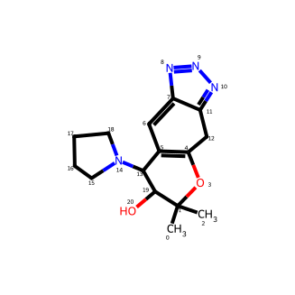 CC1(C)OC2=C(C=C3N=NN=C3C2)C(N2CCCC2)C1O